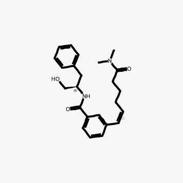 CN(C)C(=O)CCC/C=C\c1cccc(C(=O)N[C@@H](CO)Cc2ccccc2)c1